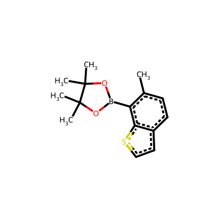 Cc1ccc2ccsc2c1B1OC(C)(C)C(C)(C)O1